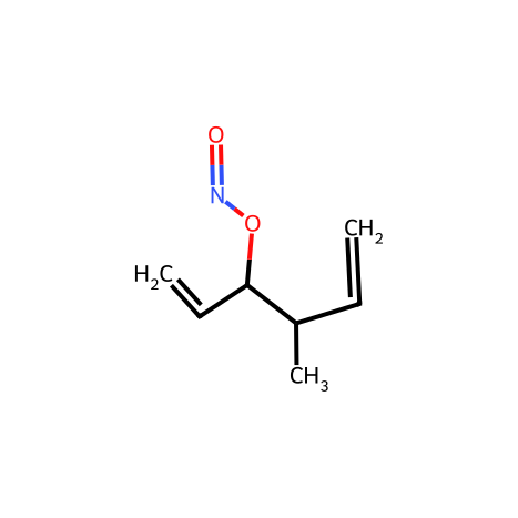 C=CC(C)C(C=C)ON=O